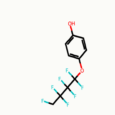 Oc1ccc(OC(F)(F)C(F)(F)C(F)(F)CF)cc1